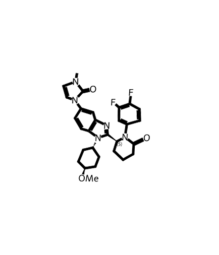 CO[C@H]1CC[C@H](n2c([C@@H]3CCCC(=O)N3c3ccc(F)c(F)c3)nc3cc(-n4ccn(C)c4=O)ccc32)CC1